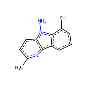 Cc1ccc2c(n1)c1cccc(C)c1n2N